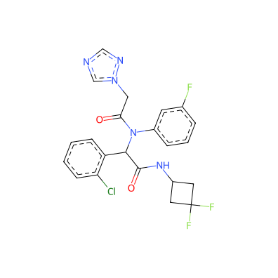 O=C(NC1CC(F)(F)C1)C(c1ccccc1Cl)N(C(=O)Cn1cncn1)c1cccc(F)c1